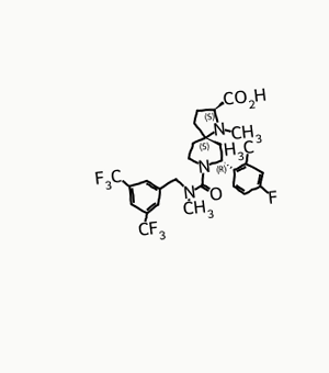 Cc1cc(F)ccc1[C@H]1C[C@]2(CC[C@@H](C(=O)O)N2C)CCN1C(=O)N(C)Cc1cc(C(F)(F)F)cc(C(F)(F)F)c1